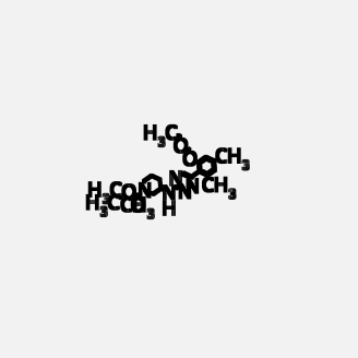 CCOCOc1cc(C)cc(C)c1-c1cnc(NC2CCCN(C(=O)OC(C)(C)C)C2)nn1